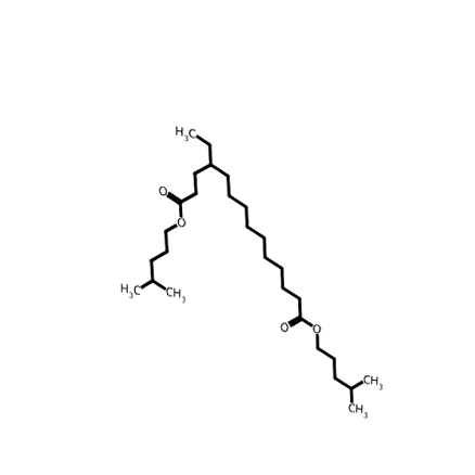 CCC(CCCCCCCCCC(=O)OCCCC(C)C)CCC(=O)OCCCC(C)C